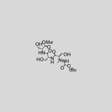 COC(=O)[C@H](CO)NC(=O)[C@H](CO)NC(=O)/C(=C/O)N(C)NC(=O)OC(C)(C)C